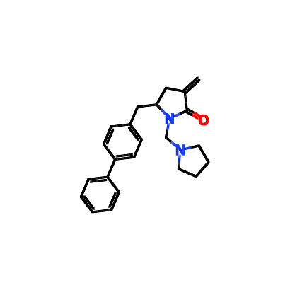 C=C1CC(Cc2ccc(-c3ccccc3)cc2)N(CN2CCCC2)C1=O